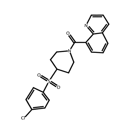 O=C(c1cccc2cccnc12)N1CCC(S(=O)(=O)c2ccc(Cl)cc2)CC1